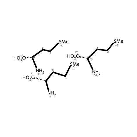 CSCC[C@H](N)C(=O)O.CSCC[C@H](N)C(=O)O.CSCC[C@H](N)C(=O)O